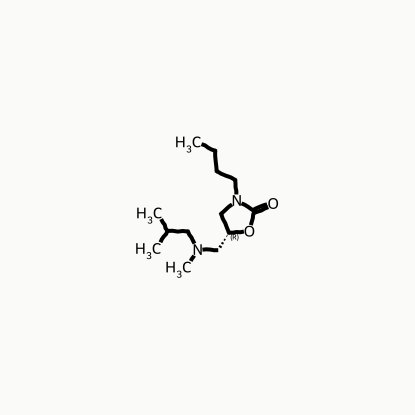 CCCCN1C[C@@H](CN(C)CC(C)C)OC1=O